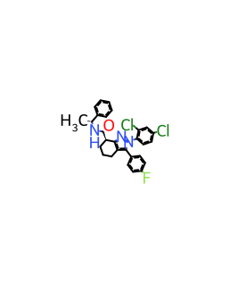 C[C@@H](NC(=O)[C@@H]1CCCc2c1nn(-c1ccc(Cl)cc1Cl)c2-c1ccc(F)cc1)c1ccccc1